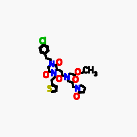 CCOC(=O)CN(CCCN1CCCC1=O)C(=O)CC1C(=O)N(CCc2ccc(Cl)cc2)CC(=O)N1CCc1cccs1